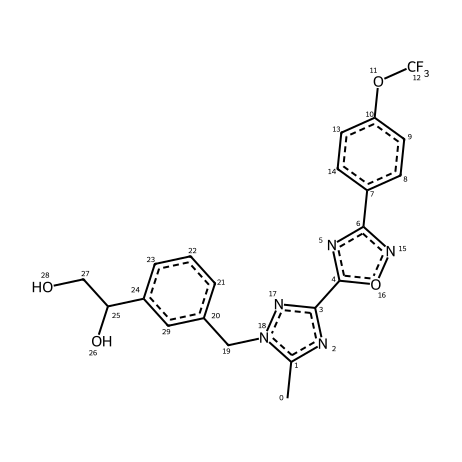 Cc1nc(-c2nc(-c3ccc(OC(F)(F)F)cc3)no2)nn1Cc1cccc(C(O)CO)c1